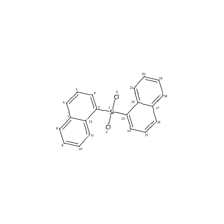 Cl[Si](Cl)(c1cccc2ccccc12)c1cccc2ccccc12